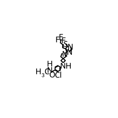 CNC(=O)c1ccc(NC2CC3(CCN(c4ncnc5sc(CC(F)(F)F)cc45)C3)C2)cc1Cl